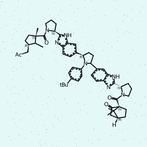 CC(=O)C[C@H]1CC[C@](C)(C(=O)N2CCC[C@H]2c2nc3ccc([C@H]4CCC(c5ccc6nc([C@@H]7CCCN7C(=O)[C@]78CC[C@H](CC7=O)C8(C)C)[nH]c6c5)N4c4ccc(C(C)(C)C)cc4)cc3[nH]2)C1C